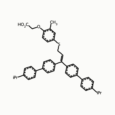 Cc1cc(SCC=C(c2ccc(-c3ccc(C(C)C)cc3)cc2)c2ccc(-c3ccc(C(C)C)cc3)cc2)ccc1OCC(=O)O